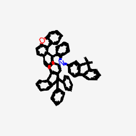 CC1(C)c2ccccc2-c2ccc(N(C3=CC4=C(CC3)c3ccccc3C4(c3ccccc3)c3ccccc3)c3ccccc3C3=C=C=Cc4ccc5oc6ccccc6c5c43)cc21